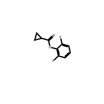 O=C(Oc1c(F)cccc1F)C1CC1